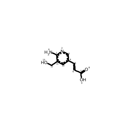 Nc1ncc(C=CC(=O)O)cc1CO